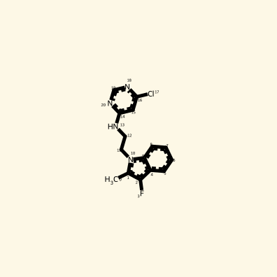 Cc1c(F)c2ccccc2n1CCNc1cc(Cl)ncn1